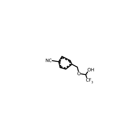 N#Cc1ccc(CO[C](O)C(F)(F)F)cc1